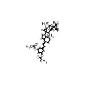 CC(=O)OC1C/C(=C/C=C2\CCC[C@@]3(C)C2CCC3C2(CC#CC(OC(C)=O)(C(F)(F)F)C(F)(F)F)CC2)C[C@@H](OC(C)=O)C1